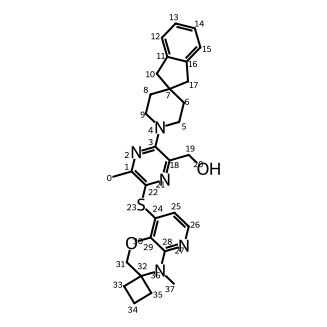 Cc1nc(N2CCC3(CC2)Cc2ccccc2C3)c(CO)nc1Sc1ccnc2c1OCC1(CCC1)N2C